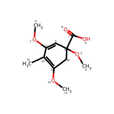 COC1=CC(OC)(C(=O)O)CC(OC)=C1C